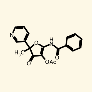 CC(=O)OC1=C(NC(=O)c2ccccc2)OC(C)(c2cccnc2)C1=O